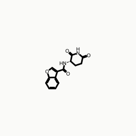 O=C1CC[C@H](NC(=O)c2coc3ccccc23)C(=O)N1